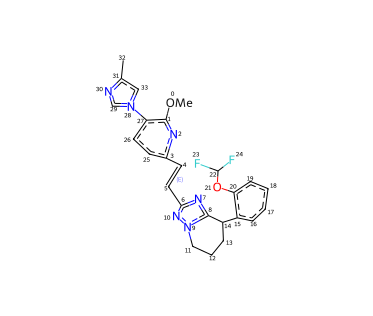 COc1nc(/C=C/c2nc3n(n2)CCCC3c2ccccc2OC(F)F)ccc1-n1cnc(C)c1